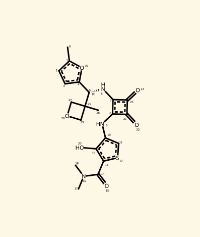 Cc1ccc([C@H](Nc2c(Nc3csc(C(=O)N(C)C)c3O)c(=O)c2=O)C2(C)COC2)o1